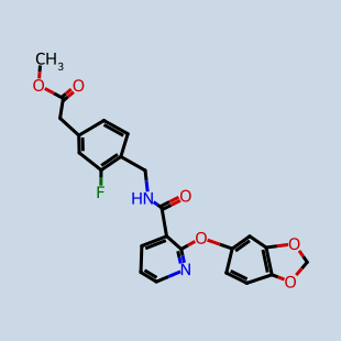 COC(=O)Cc1ccc(CNC(=O)c2cccnc2Oc2ccc3c(c2)OCO3)c(F)c1